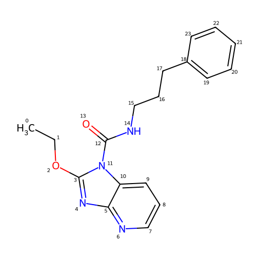 CCOc1nc2ncccc2n1C(=O)NCCCc1ccccc1